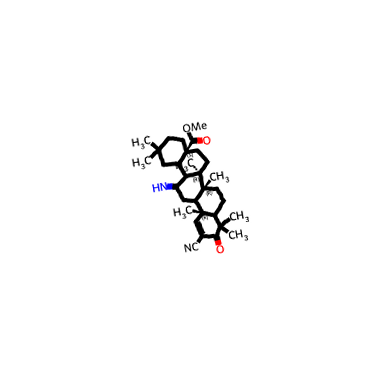 COC(=O)[C@]12CCC(C)(C)CC1C1C(=N)CC3[C@@]4(C)C=C(C#N)C(=O)C(C)(C)C4CC[C@@]3(C)[C@]1(C)CC2